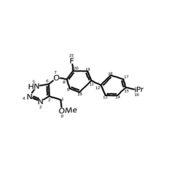 COCc1nn[nH]c1Oc1ccc(-c2ccc(C(C)C)cc2)cc1F